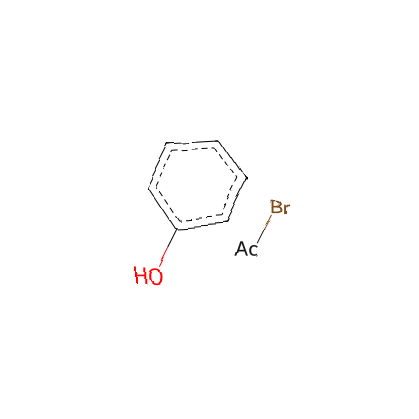 CC(=O)Br.Oc1ccccc1